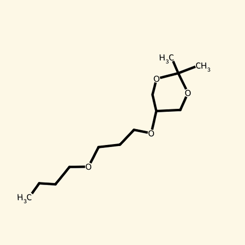 CCCCOCCCOC1COC(C)(C)OC1